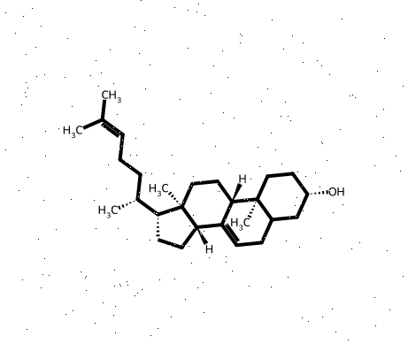 CC(C)=CCC[C@@H](C)[C@H]1CC[C@H]2C3=CCC4C[C@@H](O)CC[C@]4(C)[C@H]3CC[C@]12C